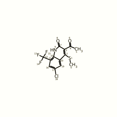 CSc1c(C(C)=O)c(=O)[nH]c2c(C(F)(F)F)cc(Cl)cc12